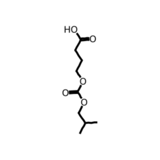 CC(C)COC(=O)OCCCC(=O)O